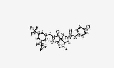 CC(C)[C@]1(C(=O)NCc2cc(C(F)(F)F)cc(C(F)(F)F)c2)CC[C@@H](NCc2ccc(Cl)cc2)C1